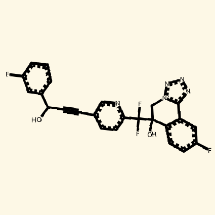 OC(C#Cc1ccc(C(F)(F)C2(O)Cn3nnnc3-c3cc(F)ccc32)nc1)c1cccc(F)c1